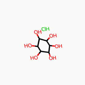 Cl.OC1C(O)C(O)C(O)C(O)C1O